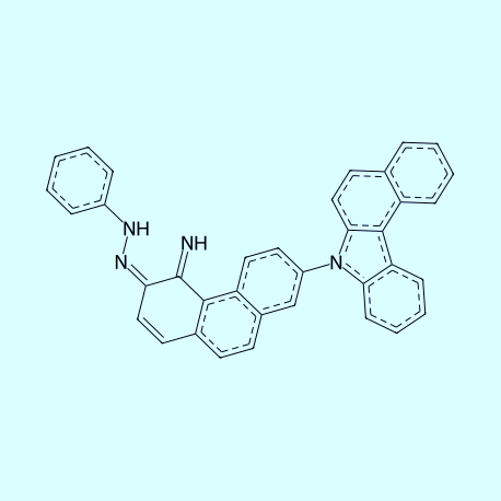 N=C1/C(=N\Nc2ccccc2)C=Cc2ccc3cc(-n4c5ccccc5c5c6ccccc6ccc54)ccc3c21